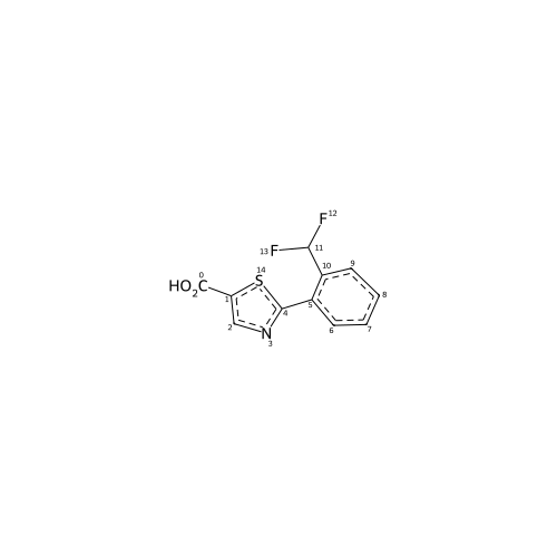 O=C(O)c1cnc(-c2ccccc2C(F)F)s1